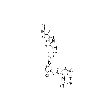 C[C@H]1CC2(CC[C@H]1Nc1cccc3c(C4CCC(=O)NC4=O)nn(C)c13)CN(c1ncc(Cl)c(Nc3ccc4c(c3)c3c(c(=O)n4C)OCC(F)(F)C(C4CC4)N3)n1)C2